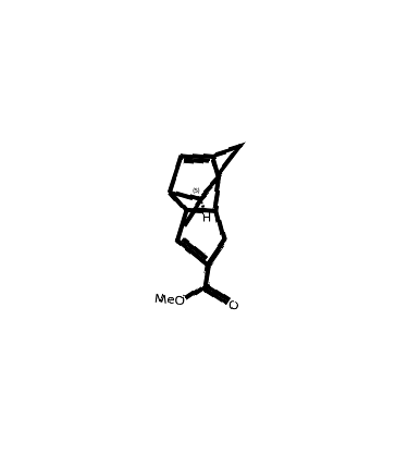 COC(=O)C1=CC2C3C=C4CC4(C2C1)[C@H]3C